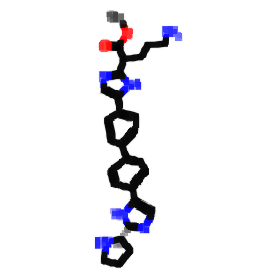 CC(C)(C)OC(=O)C(CCCN)c1ncc(-c2ccc(-c3ccc(-c4cnc([C@@H]5CCCN5)[nH]4)cc3)cc2)[nH]1